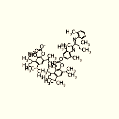 CC(C)c1cc(C(C)C)c(C(C)C)c(O)c1OC(=O)[O-].CC(C)c1cc(C(C)C)c(C(C)C)c(O)c1OC(=O)[O-].CCCC(=Nc1c(C)cccc1C)C(C)=Nc1c(C)cccc1C.[Ni+2]